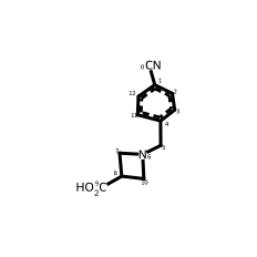 N#Cc1ccc(CN2CC(C(=O)O)C2)cc1